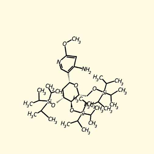 COc1cc(N)c([C@H]2C[C@@H](O[Si](C(C)C)(C(C)C)C(C)C)[C@H](O[Si](C(C)C)(C(C)C)C(C)C)[C@@H](CO[Si](C(C)C)(C(C)C)C(C)C)O2)cn1